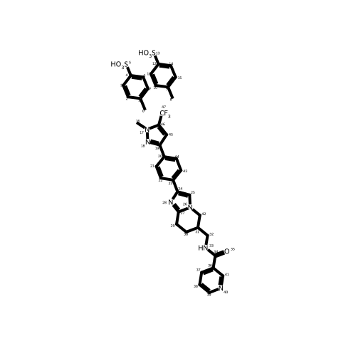 Cc1ccc(S(=O)(=O)O)cc1.Cc1ccc(S(=O)(=O)O)cc1.Cn1nc(-c2ccc(-c3cn4c(n3)CCC(CNC(=O)c3cccnc3)C4)cc2)cc1C(F)(F)F